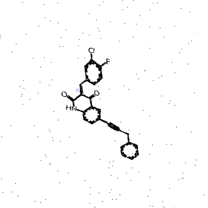 O=C1Nc2ccc(C#CCc3ccccc3)cc2C(=O)/C1=C\c1ccc(F)c(Cl)c1